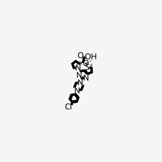 O=C(O)C[C@@H]1CCCN1c1nc(N2CCN(c3ccc(Cl)cc3)CC2)nc2c1[S+]([O-])CC2